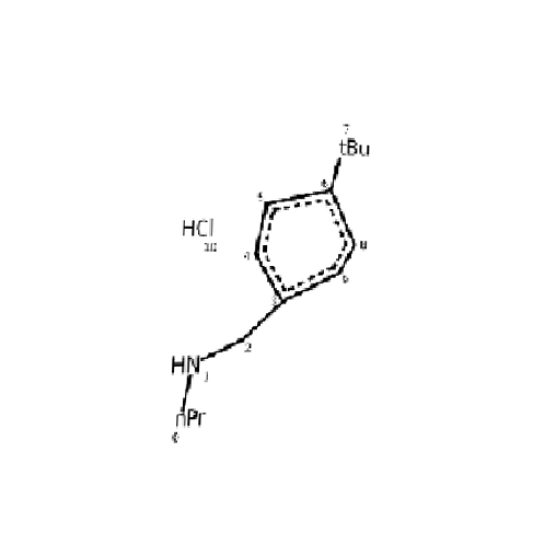 CCCNCc1ccc(C(C)(C)C)cc1.Cl